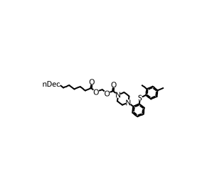 CCCCCCCCCCCCCCCC(=O)OCOC(=O)N1CCN(c2ccccc2Sc2ccc(C)cc2C)CC1